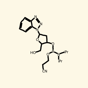 CC(C)N(B(OCCC#N)OC1CC(n2nnc3ccccc32)OC1CO)C(C)C